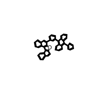 c1ccc(-c2c3ccccc3c(-c3cccc(-c4cc5ccccc5c5c4oc4ccc6ccccc6c45)c3)c3ccccc23)cc1